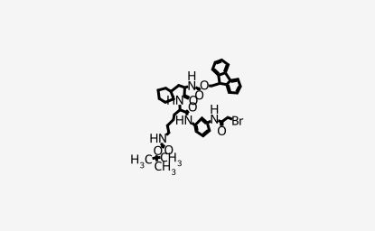 CC(C)(C)OC(=O)NCCCCC(NC(=O)C(CC1CCCCC1)NC(=O)OCC1c2ccccc2-c2ccccc21)C(=O)Nc1cccc(NC(=O)CBr)c1